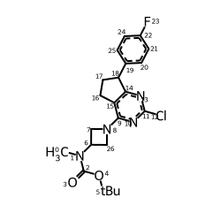 CN(C(=O)OC(C)(C)C)C1CN(c2nc(Cl)nc3c2CCC3c2ccc(F)cc2)C1